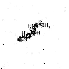 C=CC(=O)N1CC(Nc2ncc3c(-c4ccc(C(=O)Nc5ccccn5)cc4)c[nH]c3n2)C1